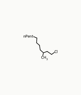 CCCCCCCCCC(C)CCCl